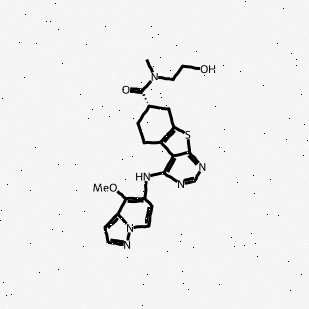 COc1c(Nc2ncnc3sc4c(c23)CC[C@H](C(=O)N(C)CCO)C4)ccn2nccc12